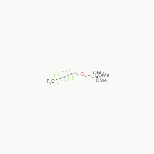 CO[Si](CCCOCCC(F)(F)C(F)(F)C(F)(F)C(F)(F)C(F)(F)C(F)(F)F)(OC)OC